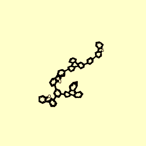 c1ccc2c(c1)oc1c(-c3cc(-c4ccc5c6ccccc6c6ccccc6c5c4)cc(-c4cccc5c4oc4cc(-c6ccc7c8ccc(-c9ccc(-c%10ccc%11sc%12ccccc%12c%11c%10)cc9)cc8c8ccccc8c7c6)ccc45)c3)cccc12